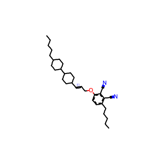 CCCCCc1ccc(OC/C=C/C2CCC(C3CCC(CCCCC)CC3)CC2)c(C#N)c1C#N